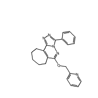 c1ccc(-c2nnc3c4c(c(OCc5ccccn5)nn23)CCCCC4)cc1